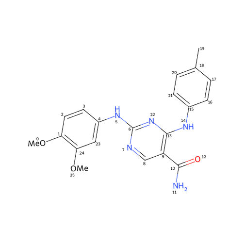 COc1ccc(Nc2ncc(C(N)=O)c(Nc3ccc(C)cc3)n2)cc1OC